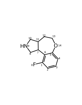 Fc1cccc2c1C1CNCC1CCO2